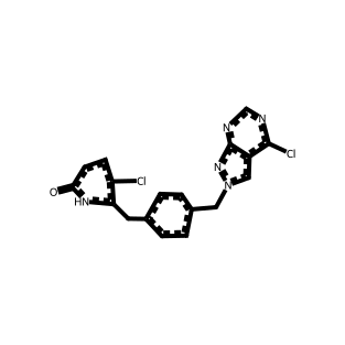 O=c1ccc(Cl)c(Cc2ccc(Cn3cc4c(Cl)ncnc4n3)cc2)[nH]1